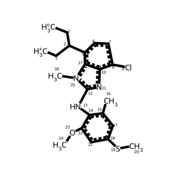 CCC(CC)c1ccc(Cl)c2nc(Nc3c(C)cc(SC)cc3OC)n(C)c12